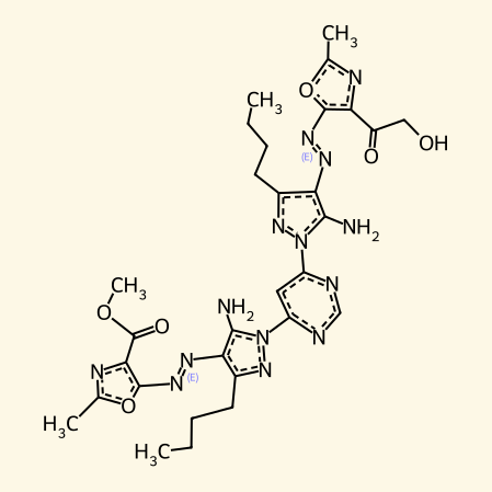 CCCCc1nn(-c2cc(-n3nc(CCCC)c(/N=N/c4oc(C)nc4C(=O)OC)c3N)ncn2)c(N)c1/N=N/c1oc(C)nc1C(=O)CO